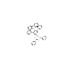 FC(F)(F)c1ccc2c(c1)c1ccccc1n2-c1c(-c2ccccc2C(F)(F)F)cc(-c2nc(-c3ccccc3)nc(-c3ccccc3)n2)cc1-c1ccccc1C(F)(F)F